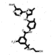 CNc1cc(-n2nc(C)cc2Nc2cc(NC(=O)c3cc(C(F)(F)F)cc(C(C)(C)NCCO)c3)ccc2C)ncn1